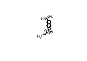 CCCC(=O)OS(=O)(=O)Cc1ccc2cc(C(=N)N)ccc2c1